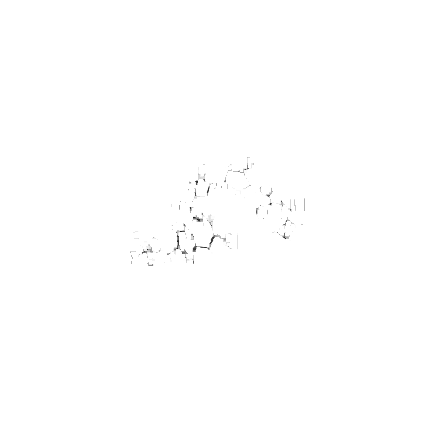 O=C(NC12CC(C1)C2)O[C@H]1C[C@@H](c2cc(Nc3nc(Cl)cc4nc(COC(F)(F)F)cn34)n[nH]2)C[C@H]1F